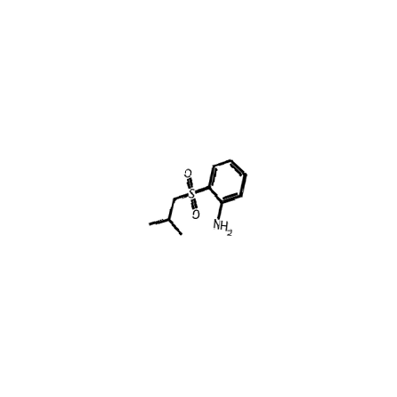 CC(C)CS(=O)(=O)c1ccccc1N